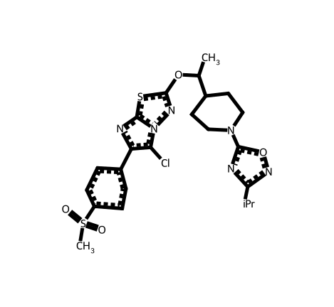 CC(C)c1noc(N2CCC(C(C)Oc3nn4c(Cl)c(-c5ccc(S(C)(=O)=O)cc5)nc4s3)CC2)n1